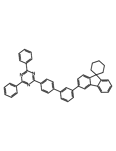 c1ccc(-c2nc(-c3ccccc3)nc(-c3ccc(-c4cccc(-c5ccc6c(c5)-c5ccccc5C65CCCCC5)c4)cc3)n2)cc1